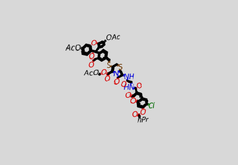 CCCC(=O)Oc1cc2oc(=O)c(C(=O)NCC(=O)NC3C(=O)N4C(C(=O)OCOC(C)=O)=C(SCc5ccc6c(c5)C(=O)OC65c6ccc(OC(C)=O)cc6Oc6cc(OC(C)=O)ccc65)CSC34)cc2cc1Cl